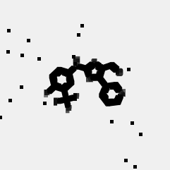 O=Cc1sc(Nc2ccc(F)c(C(F)(F)F)c2)nc1-c1cccnc1